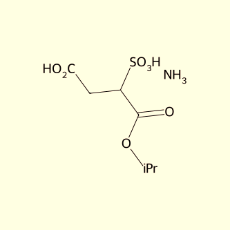 CC(C)OC(=O)C(CC(=O)O)S(=O)(=O)O.N